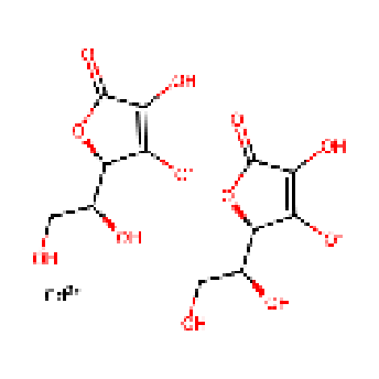 O=C1O[C@H]([C@@H](O)CO)C([O-])=C1O.O=C1O[C@H]([C@@H](O)CO)C([O-])=C1O.[Cd+2]